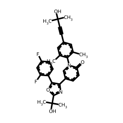 Cc1cc(C#CC(C)(C)O)cc(C)c1-n1cc(-c2nc(C(C)(C)O)oc2-c2ccc(F)cc2F)ccc1=O